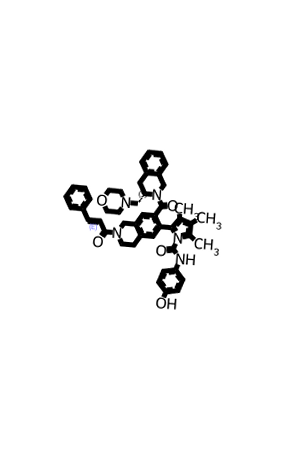 Cc1c(C)c(-c2cc3c(cc2C(=O)N2Cc4ccccc4C[C@H]2CN2CCOCC2)CN(C(=O)/C=C/c2ccccc2)CC3)n(C(=O)Nc2ccc(O)cc2)c1C